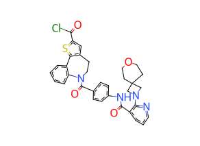 O=C(Cl)c1cc2c(s1)-c1ccccc1N(C(=O)c1ccc(NC(=O)c3cccnc3N3CC4(CCOCC4)C3)cc1)CC2